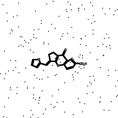 O=C(O)c1ccc2oc3c(c(=O)c2c1)CCC3=Cc1ccco1